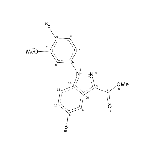 COC(=O)c1nn(-c2ccc(F)c(OC)c2)c2ccc(Br)cc12